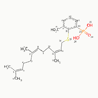 CC(C)=CCCC(C)=CCCC(C)=CCSc1c(C(=O)O)cccc1P(=O)(O)O